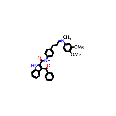 COc1ccc(N(C)CCCc2ccc(NC(=O)c3[nH]c4ccccc4c3C(=O)c3ccccc3)cc2)cc1OC